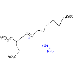 CCCCCCCCCCCCCC/C=C/C(CC(=O)O)C(=O)O.N.N